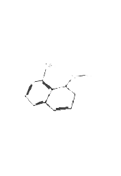 CCC(C)NC1CC=Cc2cccc(N)c21